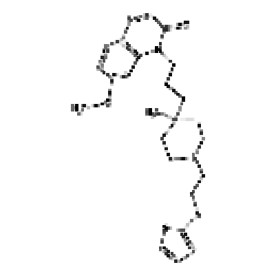 COc1ccc2ncc(=O)n(CCCC3(C)CCN(CCSc4cccs4)CC3)c2c1